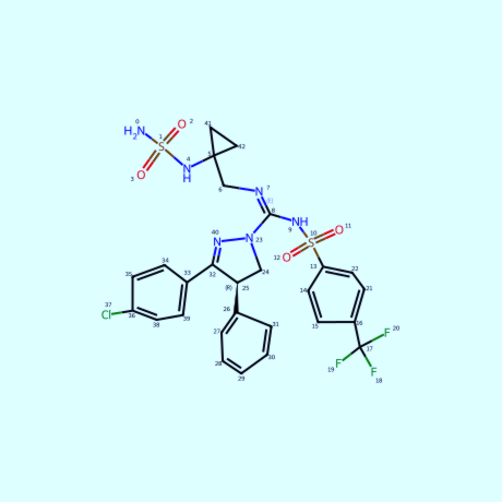 NS(=O)(=O)NC1(C/N=C(/NS(=O)(=O)c2ccc(C(F)(F)F)cc2)N2C[C@@H](c3ccccc3)C(c3ccc(Cl)cc3)=N2)CC1